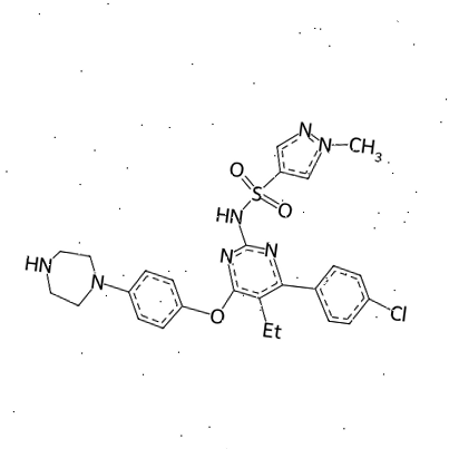 CCc1c(Oc2ccc(N3CCNCC3)cc2)nc(NS(=O)(=O)c2cnn(C)c2)nc1-c1ccc(Cl)cc1